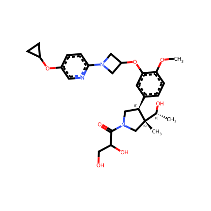 COc1ccc([C@@H]2CN(C(=O)C(O)CO)C[C@@]2(C)[C@@H](C)O)cc1OC1CN(c2ccc(OC3CC3)cn2)C1